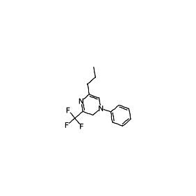 CCCC1=CN(c2ccccc2)CC(C(F)(F)F)=N1